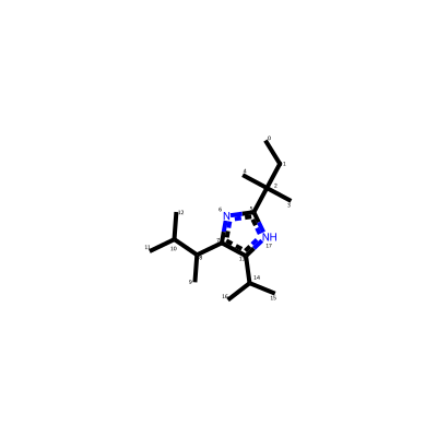 CCC(C)(C)c1nc(C(C)C(C)C)c(C(C)C)[nH]1